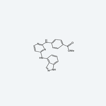 COC(=O)c1ccc(Nc2nccc(Nc3cccc4[nH]ncc34)n2)cc1